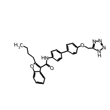 CCCCc1oc2ccccc2c1C(=O)Nc1ccc(-c2ccc(OCc3nnn[nH]3)cc2)cc1